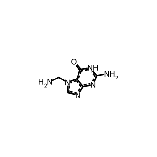 NCn1cnc2nc(N)[nH]c(=O)c21